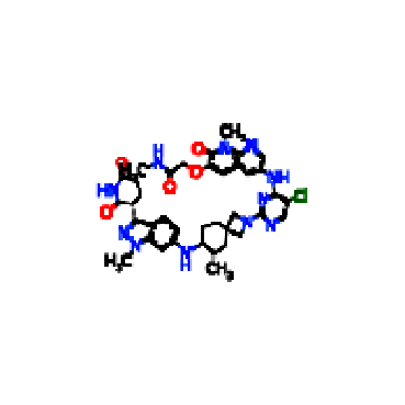 CNC(=O)COc1cc2cc(Nc3nc(N4CC5(CC[C@H](Nc6ccc7c([C@H]8CCC(=O)NC8=O)nn(C)c7c6)[C@@H](C)C5)C4)ncc3Cl)cnc2n(C)c1=O